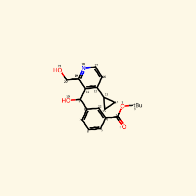 CC(C)(C)OC(=O)c1cccc(C(O)c2c(C3CC3)ccnc2CO)c1